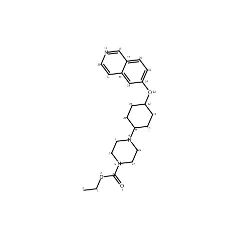 CCOC(=O)N1CCN(C2CCC(Oc3ccc4cnccc4c3)CC2)CC1